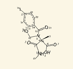 CNC(=O)[C@@](C)(C(=O)O)N(CO)C(=O)c1ccc(I)cc1